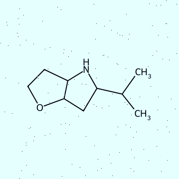 CC(C)C1CC2OCCC2N1